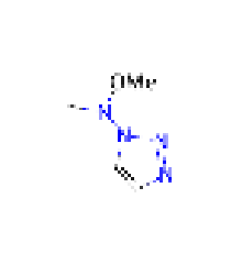 CON(C)n1ccnn1